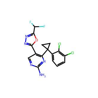 Nc1ncc(-c2nnc(C(F)F)o2)c(C2(c3cccc(Cl)c3Cl)CC2)n1